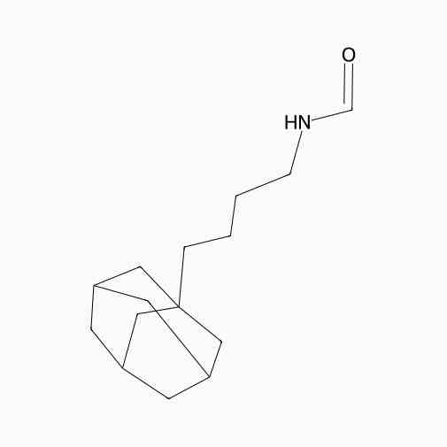 O=CNCCCCC12CC3CC(CC(C3)C1)C2